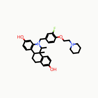 CC1N(Cc2ccc(OCCN3CCCCC3)c(F)c2)c2cc(O)ccc2C2CCc3cc(O)ccc3C21C